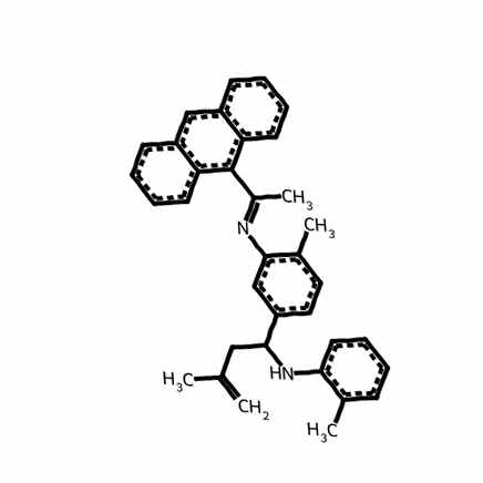 C=C(C)CC(Nc1ccccc1C)c1ccc(C)c(/N=C(\C)c2c3ccccc3cc3ccccc23)c1